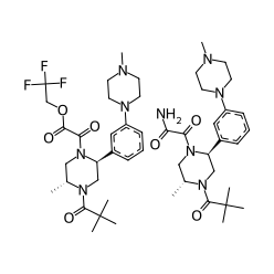 C[C@@H]1CN(C(=O)C(=O)OCC(F)(F)F)[C@@H](c2cccc(N3CCN(C)CC3)c2)CN1C(=O)C(C)(C)C.C[C@@H]1CN(C(=O)C(N)=O)[C@@H](c2cccc(N3CCN(C)CC3)c2)CN1C(=O)C(C)(C)C